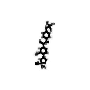 C[C@@]1(O)CCN(c2ncc(C(=O)Nc3ccc(OC(F)(F)F)cc3)cc2Br)C1